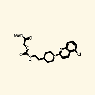 CNC(=O)COC(=O)NCCC1CCN(c2ccc3c(Cl)cccc3n2)CC1